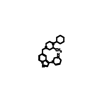 CC1CN(Cc2ccn3ncc(N4C=CCNC4)c3c2)CCN1C1CCCCC1